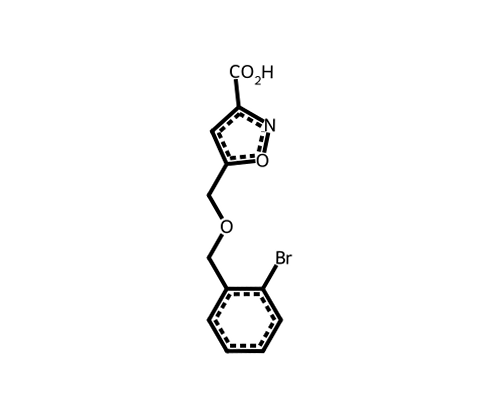 O=C(O)c1cc(COCc2ccccc2Br)on1